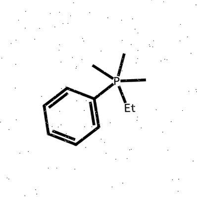 CCP(C)(C)(C)c1ccccc1